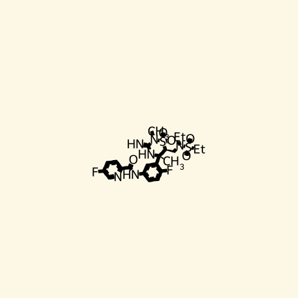 CCN(C[C@H]1[C@@](C)(c2cc(NC(=O)c3ccc(F)cn3)ccc2F)NC(=N)N(C)S1(=O)=O)S(=O)(=O)CC